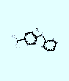 C[C@@H](N)c1ccc(Oc2ccccc2)cc1.Cl